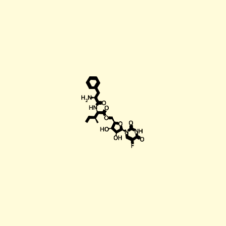 CC[C@H](C)[C@H](NC(=O)[C@@H](N)Cc1ccccc1)C(=O)OC[C@H]1O[C@@H](n2cc(F)c(=O)[nH]c2=O)[C@H](O)[C@@H]1O